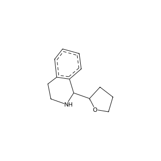 c1ccc2c(c1)CCNC2[C]1CCCO1